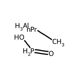 CCCC.O=[PH2]O.[AlH3]